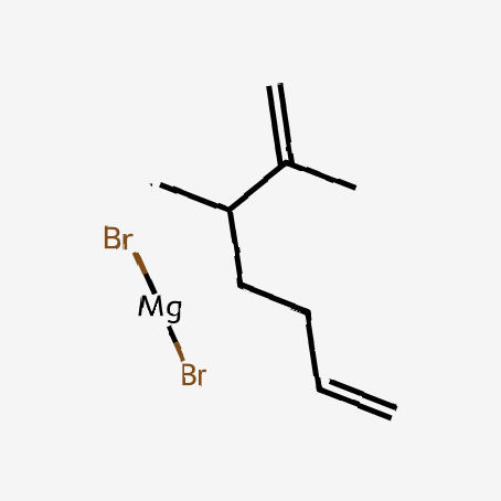 [Br][Mg][Br].[CH2]C(CCC=C)C(=C)C